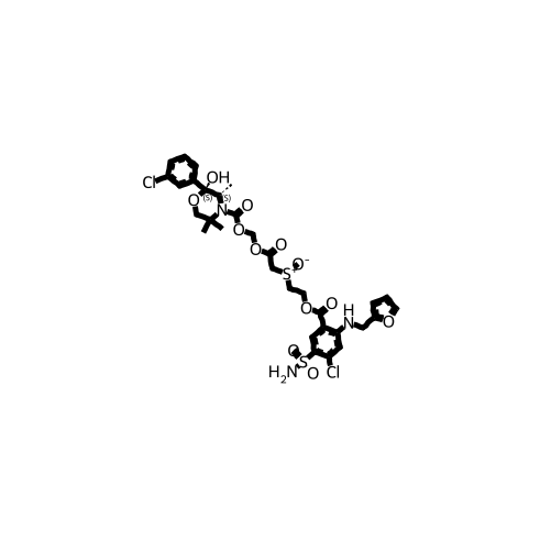 C[C@@H]1N(C(=O)OCOC(=O)C[S+]([O-])CCOC(=O)c2cc(S(N)(=O)=O)c(Cl)cc2NCc2ccco2)C(C)(C)CO[C@@]1(O)c1cccc(Cl)c1